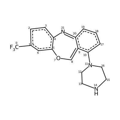 FC(F)(F)c1ccc2c(c1)OC=c1c(N3CCNCC3)cccc1=N2